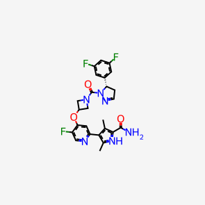 Cc1[nH]c(C(N)=O)c(C)c1-c1cc(OC2CN(C(=O)N3N=CC[C@H]3c3cc(F)cc(F)c3)C2)c(F)cn1